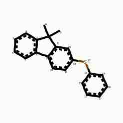 CC1(C)c2ccccc2-c2ccc(Sc3cc[c]cc3)cc21